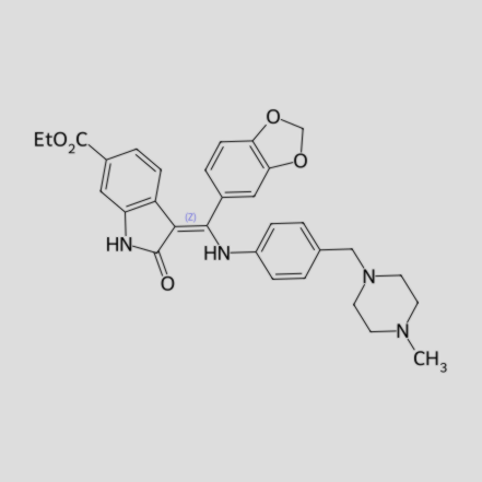 CCOC(=O)c1ccc2c(c1)NC(=O)/C2=C(\Nc1ccc(CN2CCN(C)CC2)cc1)c1ccc2c(c1)OCO2